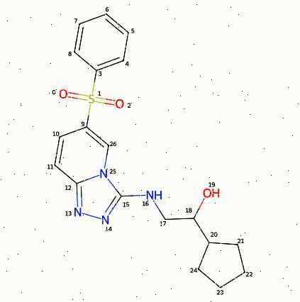 O=S(=O)(c1ccccc1)c1ccc2nnc(NCC(O)C3CCCC3)n2c1